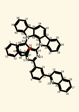 c1ccc(-c2nc(-c3cccc(-c4ccc5ccccc5n4)c3)nc(-n3c4ccccc4c4ccc5c6ccccc6n(-c6ccccc6)c5c43)n2)cc1